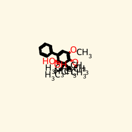 COC1=C(OC)C(C(C)(C)C)(C(C)(C)C)C(O)(O)C(c2ccccc2)=C1